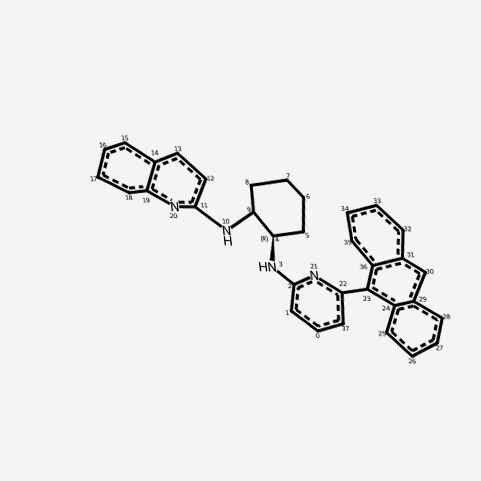 c1cc(N[C@@H]2CCCCC2Nc2ccc3ccccc3n2)nc(-c2c3ccccc3cc3ccccc23)c1